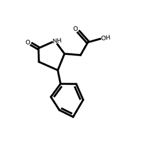 O=C(O)CC1NC(=O)CC1c1ccccc1